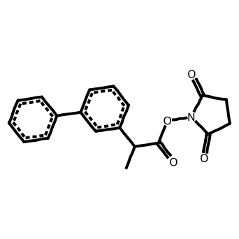 CC(C(=O)ON1C(=O)CCC1=O)c1cccc(-c2ccccc2)c1